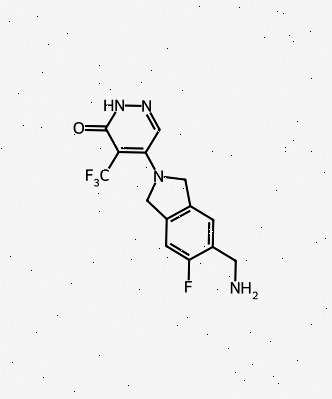 NCc1cc2c(cc1F)CN(c1cn[nH]c(=O)c1C(F)(F)F)C2